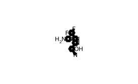 N#Cc1cccc(-c2cnc3ncc(-c4cc(F)cc(F)c4)c(N4CCC(N)CC4)c3c2)c1O